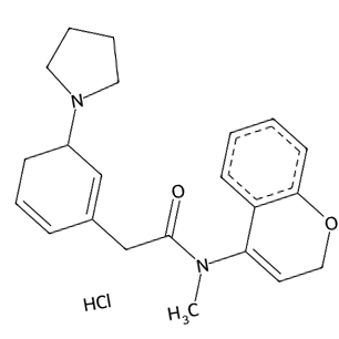 CN(C(=O)CC1=CC(N2CCCC2)CC=C1)C1=CCOc2ccccc21.Cl